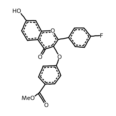 COC(=O)c1ccc(Oc2c(-c3ccc(F)cc3)oc3cc(O)ccc3c2=O)cc1